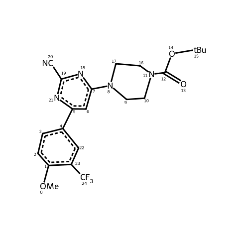 COc1ccc(-c2cc(N3CCN(C(=O)OC(C)(C)C)CC3)nc(C#N)n2)cc1C(F)(F)F